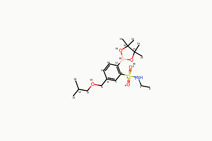 CCNS(=O)(=O)c1cc(COCC(C)C)ccc1B1OC(C)(C)C(C)(C)O1